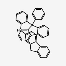 c1ccc(C2(c3ccccc3Nc3ccc4c(c3)Cc3ccccc3-4)c3ccccc3-c3ccccc32)cc1